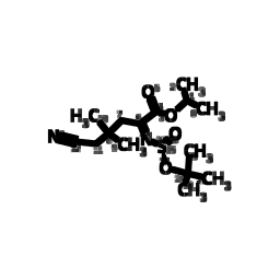 CC(C)OC(=O)C(CC(C)(C)CC#N)=N[S@@](=O)OC(C)(C)C